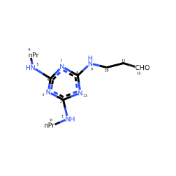 CCCNc1nc(NCCC)nc(NCCC=O)n1